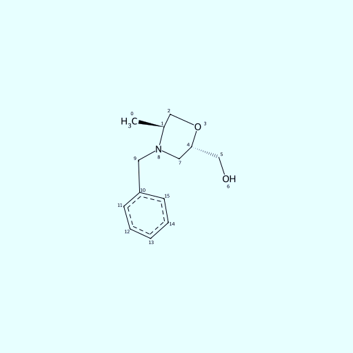 C[C@H]1CO[C@H](CO)CN1Cc1ccccc1